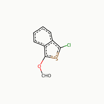 O=COc1sc(Cl)c2ccccc12